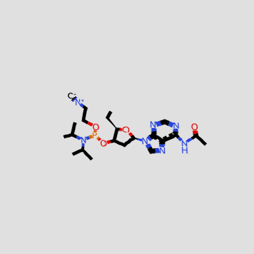 [C-]#[N+]CCOP(OC1C[C@H](n2cnc3c(NC(C)=O)ncnc32)O[C@@H]1CC)N(C(C)C)C(C)C